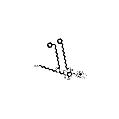 CCCCCCCCCCC[C@@H](CC(=O)N[C@H]1C(O)O[C@H](CO[Si](C)(C)C(C)(C)C)[C@@H](O)[C@@H]1OC(=O)CCCCCCCCCCCCc1ccccc1)OC(=O)CCCCCCCCCCCCc1ccccc1